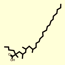 CCCCCCCCCCCCCCCCC(C)CC(C)CC(C)CC(C)(CCCC)C(=O)O